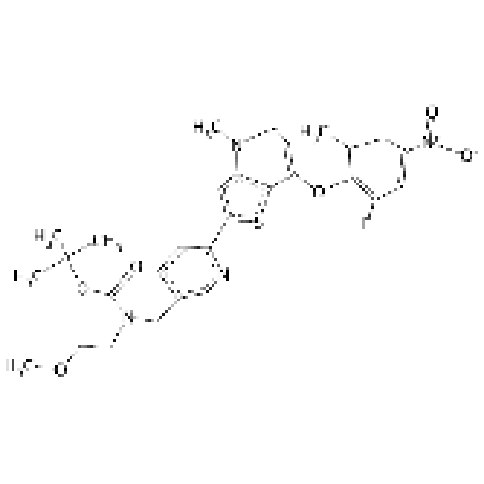 COCCN(Cc1ccc(-c2cc3c(s2)C(OC2=C(F)C=C([N+](=O)[O-])CC2C)=CCN3C)nc1)C(=O)OC(C)(C)C